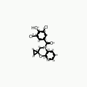 O=C(c1cc(Cl)c(O)c(Cl)c1)N1CC2(CC2)Oc2ncccc21